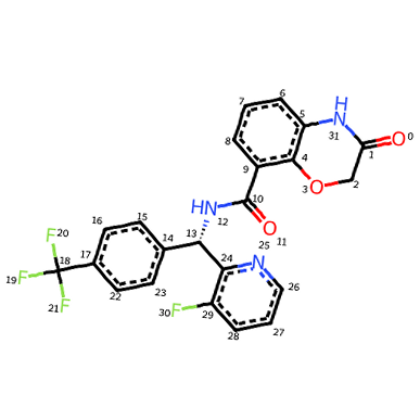 O=C1COc2c(cccc2C(=O)N[C@@H](c2ccc(C(F)(F)F)cc2)c2ncccc2F)N1